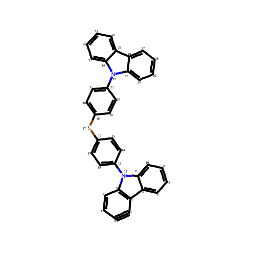 c1ccc2c(c#1)c1ccccc1n2-c1ccc(Sc2ccc(-n3c4ccccc4c4ccccc43)cc2)cc1